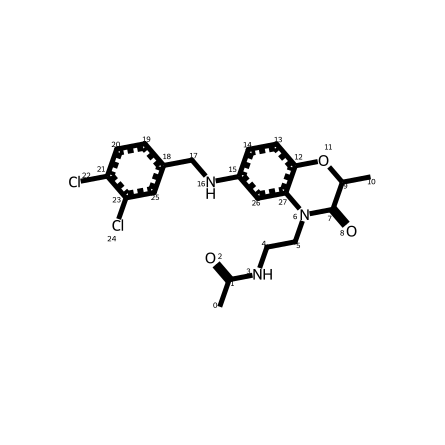 CC(=O)NCCN1C(=O)C(C)Oc2ccc(NCc3ccc(Cl)c(Cl)c3)cc21